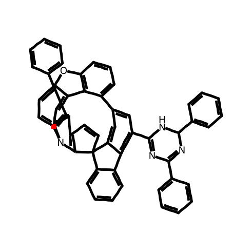 C1=CC23c4ccccc4-c4c(C5=NC(c6ccccc6)=NC(c6ccccc6)N5)cc(cc42)-c2cccc4oc5ccc(cc5c24)-n2c3c1c1cc(-c3ccccc3)ccc12